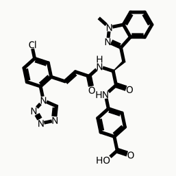 Cn1nc(C[C@H](NC(=O)/C=C/c2cc(Cl)ccc2-n2cnnn2)C(=O)Nc2ccc(C(=O)O)cc2)c2ccccc21